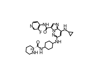 O=C(Nc1ccncc1F)c1cnc2c(NC3CC3)cc(NC3CCC(NC(=O)[C@H]4CCCCN4)CC3)nn12